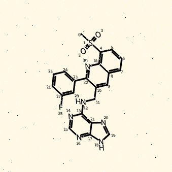 CS(=O)(=O)c1cccc2cc(CNc3ncnc4[nH]cnc34)c(-c3cccc(F)c3)nc12